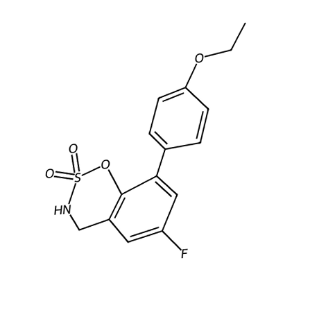 CCOc1ccc(-c2cc(F)cc3c2OS(=O)(=O)NC3)cc1